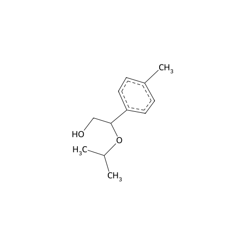 Cc1ccc(C(CO)OC(C)C)cc1